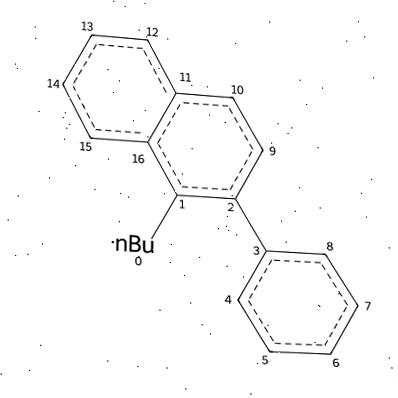 CCC[CH]c1c(-c2ccccc2)ccc2ccccc12